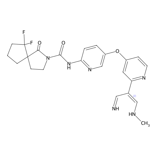 CN/C=C(\C=N)c1cc(Oc2ccc(NC(=O)N3CCC4(CCCC4(F)F)C3=O)nc2)ccn1